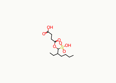 CCCCC(CC)C(OC(=O)CCC(=O)O)S(=O)(=O)O